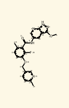 COc1n[nH]c2ncc(NC(=O)c3c(I)ccc(OCc4ccc(C)nc4)c3F)cc12